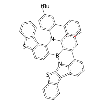 Cc1cc2c3c(c1)N(c1ccc(C(C)(C)C)cc1-c1ccccc1)c1c(ccc4sc5ccccc5c14)B3n1c3sc4ccccc4c3c3cccc-2c31